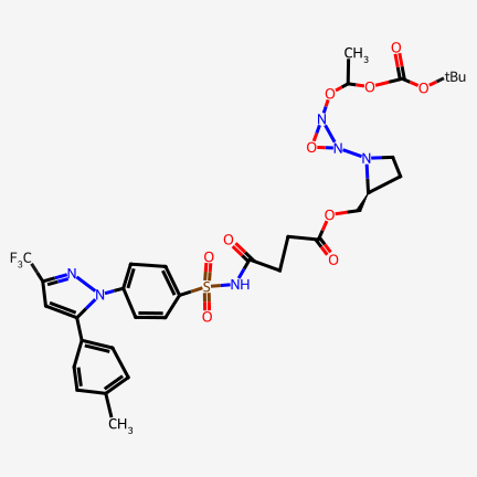 Cc1ccc(-c2cc(C(F)(F)F)nn2-c2ccc(S(=O)(=O)NC(=O)CCC(=O)OC[C@@H]3CCN3n3on3OC(C)OC(=O)OC(C)(C)C)cc2)cc1